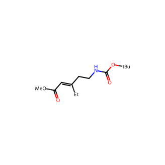 CC/C(=C\C(=O)OC)CCNC(=O)OC(C)(C)C